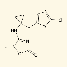 Cn1oc(=O)nc1NC1(Cc2cnc(Cl)s2)CC1